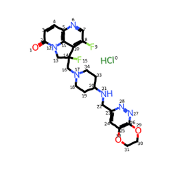 Cl.O=c1ccc2ncc(F)c3c2n1CC3(F)CN1CCC(NCc2cc3c(nn2)OCCO3)CC1